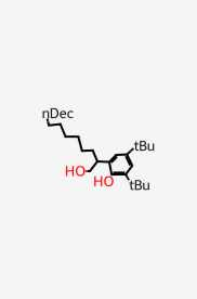 CCCCCCCCCCCCCCCCC(CO)c1cc(C(C)(C)C)cc(C(C)(C)C)c1O